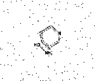 NO.c1cncnc1